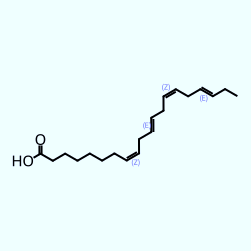 CC/C=C/C/C=C\C/C=C/C/C=C\CCCCCCC(=O)O